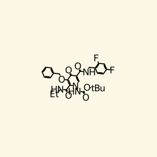 CCNC(=O)c1c(OCc2ccccc2)c(=O)c(C(=O)NCc2ccc(F)cc2F)cn1NC(=O)OC(C)(C)C